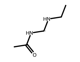 CCN[CH]NC(C)=O